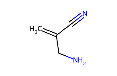 C=C(C#N)CN